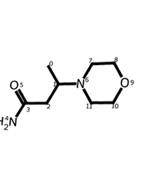 CC(CC(N)=O)N1CCOCC1